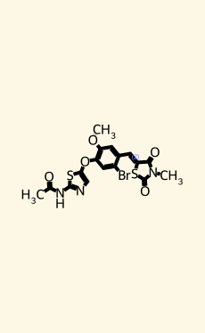 COc1cc(/C=C2\SC(=O)N(C)C2=O)c(Br)cc1Oc1cnc(NC(C)=O)s1